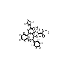 C[C@H](N[C@@H]1C(=O)N(CC(=O)N2CCC2)c2ccccc2O[C@@H]1c1ccccc1)C(N)=O